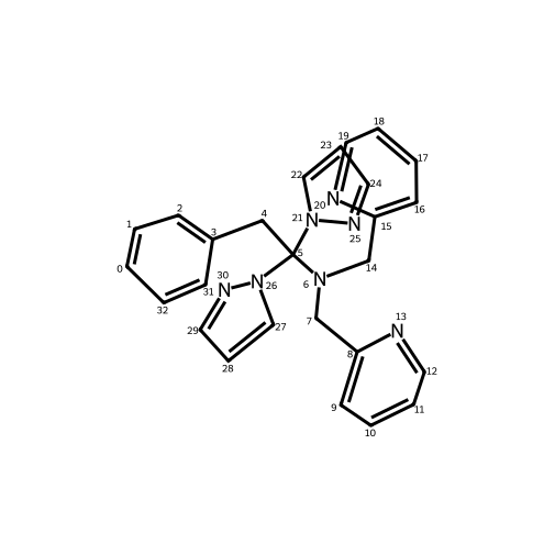 c1ccc(CC(N(Cc2ccccn2)Cc2ccccn2)(n2cccn2)n2cccn2)cc1